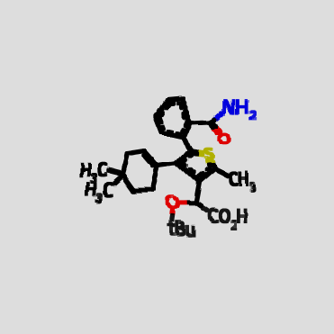 Cc1sc(-c2ccccc2C(N)=O)c(C2=CCC(C)(C)CC2)c1C(OC(C)(C)C)C(=O)O